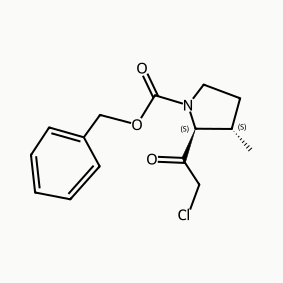 C[C@H]1CCN(C(=O)OCc2ccccc2)[C@@H]1C(=O)CCl